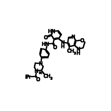 Cc1c(Nc2cc[nH]c(=O)c2C(=O)Nc2ccc(N3CCN(C(=O)C(C)C)[C@H](C)C3)cc2)cnc2c1NCCO2